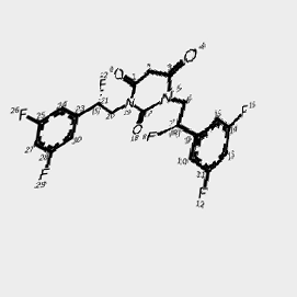 O=C1CC(=O)N(C[C@H](F)c2cc(F)cc(F)c2)C(=O)N1C[C@@H](F)c1cc(F)cc(F)c1